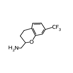 NCC1CCc2ccc(C(F)(F)F)cc2O1